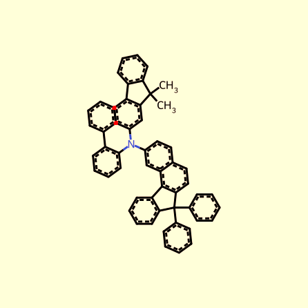 CC1(C)c2ccccc2-c2ccc(N(c3ccc4ccc5c(c4c3)-c3ccccc3C5(c3ccccc3)c3ccccc3)c3ccccc3-c3ccccc3)cc21